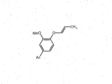 CC=COc1ccc(C(C)=O)cc1OC